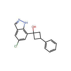 OC1(c2cc(Cl)cc3cn[nH]c23)CC(c2ccccc2)C1